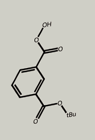 CC(C)(C)OC(=O)c1cccc(C(=O)OO)c1